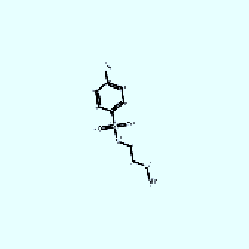 CCCOCCNS(=O)(=O)c1ccc(C(C)C)cc1